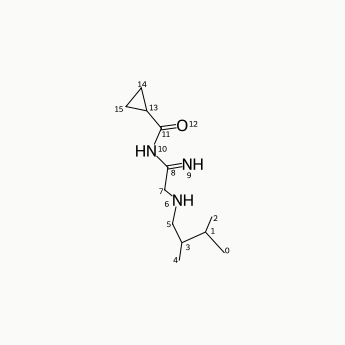 CC(C)C(C)CNCC(=N)NC(=O)C1CC1